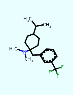 CC(C)C1CCC(Cc2cccc(C(F)(F)F)c2)(N(C)C)CC1